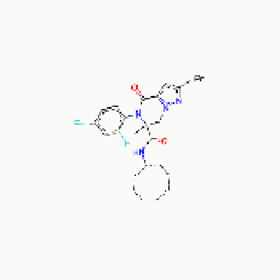 CC(C)c1cc2n(n1)CC(C)(C(=O)NC1CCCCCCC1)N(c1ccc(F)cc1F)C2=O